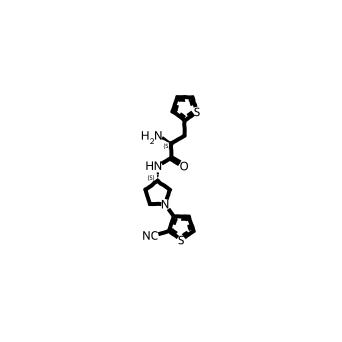 N#Cc1sccc1N1CC[C@H](NC(=O)[C@@H](N)Cc2cccs2)C1